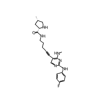 CNc1nc(Nc2ccc(F)cc2)ncc1C#CCCCNC(=O)[C@@H]1C[C@H](C)CN1